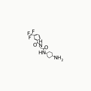 NC1CCC(NC(=O)CNC(=O)c2cccc(C(F)(F)F)c2)CC1